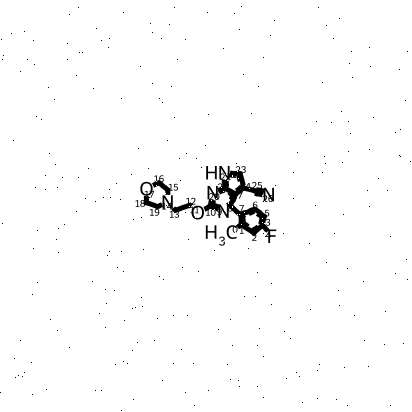 Cc1cc(F)ccc1-c1nc(OCCN2CCOCC2)nc2[nH]cc(C#N)c12